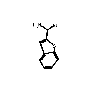 CCC(N)c1cc2ccccc2s1